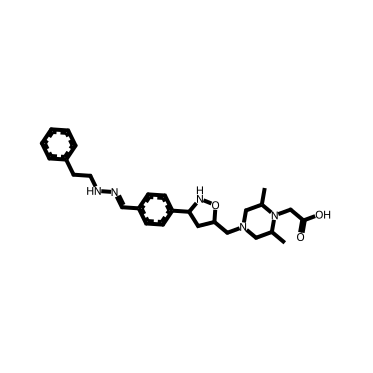 CC1CN(CC2CC(c3ccc(C=NNCCc4ccccc4)cc3)NO2)CC(C)N1CC(=O)O